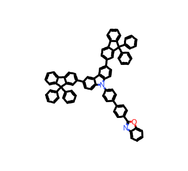 c1ccc(C2(c3ccccc3)c3ccccc3-c3ccc(-c4ccc5c(c4)c4cc(-c6ccc7c(c6)C(c6ccccc6)(c6ccccc6)c6ccccc6-7)ccc4n5-c4ccc(-c5ccc(-c6nc7ccccc7o6)cc5)cc4)cc32)cc1